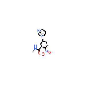 CNC(=O)c1cc(N2CCN3CCC2CC3)ccc1[N+](=O)[O-]